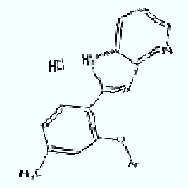 CCOc1cc(C)ccc1-c1nc2ncccc2[nH]1.Cl